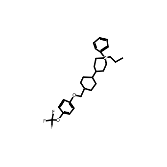 CCC[Si]1(c2ccccc2)CCC(C2CCC(COc3ccc(OC(F)(F)F)cc3)CC2)CC1